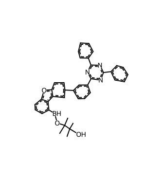 CC(C)(O)C(C)(C)OBc1cccc2oc3ccc(-c4cccc(-c5nc(-c6ccccc6)nc(-c6ccccc6)n5)c4)cc3c12